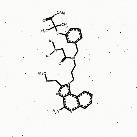 CCN(CC)CC(=O)N(CCCn1c(CCOC)nc2c(N)nc3ccccc3c21)Cc1cccc(OC(C)(C)C(=O)OC)c1